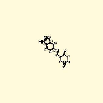 CC1CCN(C)CC1COc1ccc2[nH]ncc2c1